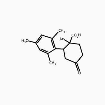 CC(=O)C1(C(=O)O)CCC(=O)CC1c1c(C)cc(C)cc1C